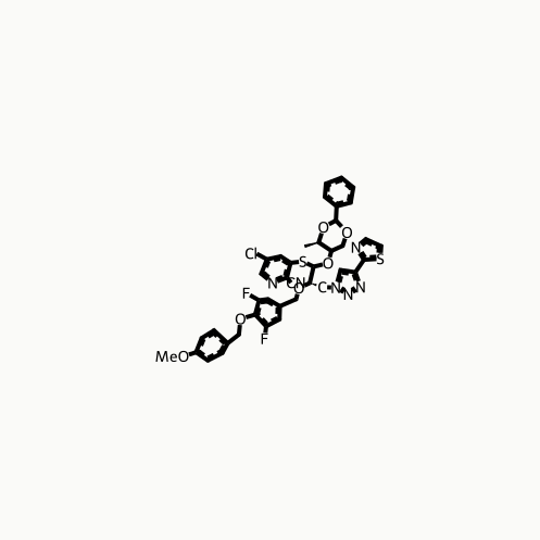 COc1ccc(COc2c(F)cc(CO[C@@H](Cn3cc(-c4nccs4)nn3)C(OC3COC(c4ccccc4)O[C@@H]3C)Sc3cc(Cl)cnc3C#N)cc2F)cc1